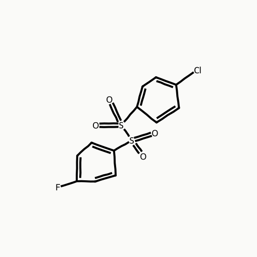 O=S(=O)(c1ccc(F)cc1)S(=O)(=O)c1ccc(Cl)cc1